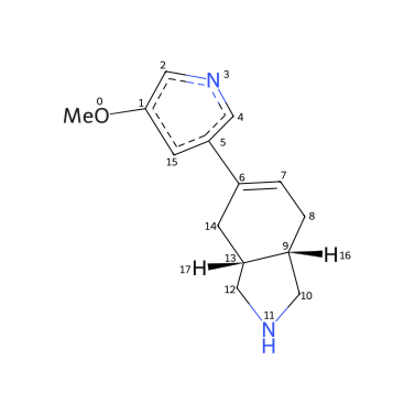 COc1cncc(C2=CC[C@@H]3CNC[C@@H]3C2)c1